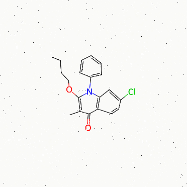 CCCCOc1c(C)c(=O)c2ccc(Cl)cc2n1-c1ccccc1